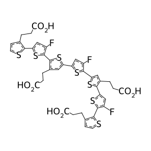 O=C(O)CCc1ccsc1-c1cc(F)c(-c2sc(-c3cc(F)c(-c4cc(CCC(=O)O)c(-c5cc(F)c(-c6sccc6CCC(=O)O)s5)s4)s3)cc2CCC(=O)O)s1